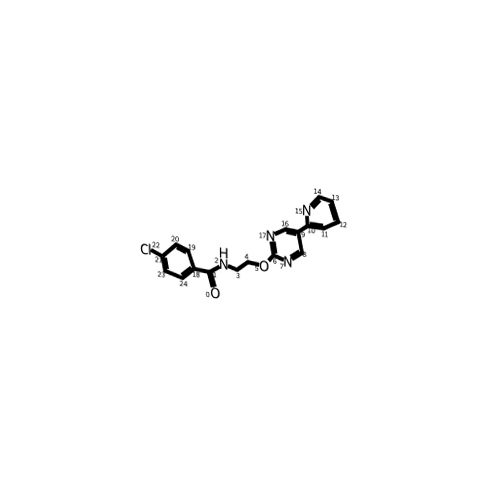 O=C(NCCOc1ncc(-c2ccccn2)cn1)c1ccc(Cl)cc1